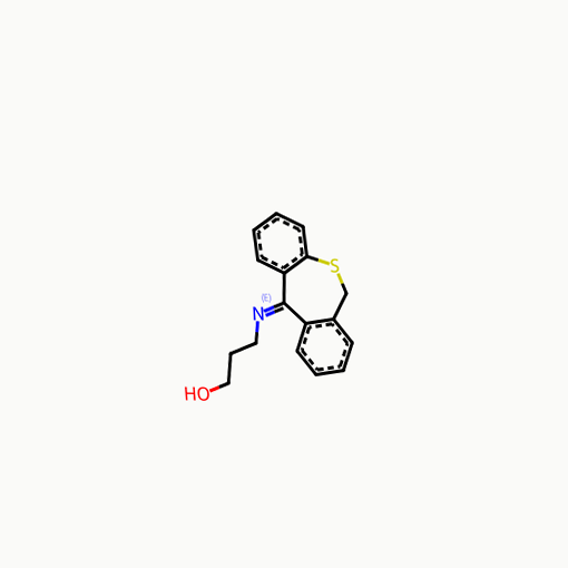 OCCC/N=C1\c2ccccc2CSc2ccccc21